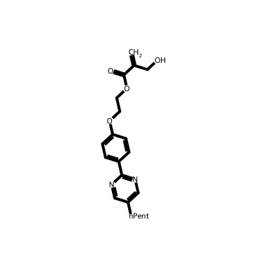 C=C(CO)C(=O)OCCOc1ccc(-c2ncc(CCCCC)cn2)cc1